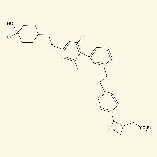 CCOC(=O)CC1COC1c1ccc(OCc2cccc(-c3c(C)cc(OCC4CCS(O)(O)CC4)cc3C)c2)cc1